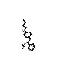 CCCCOc1ccc([CH]C(OC(C)(C)C)c2ccccc2)cc1